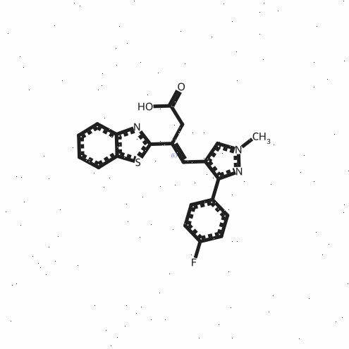 Cn1cc(/C=C(\CC(=O)O)c2nc3ccccc3s2)c(-c2ccc(F)cc2)n1